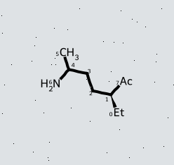 CC[C@@H](CCC(C)N)C(C)=O